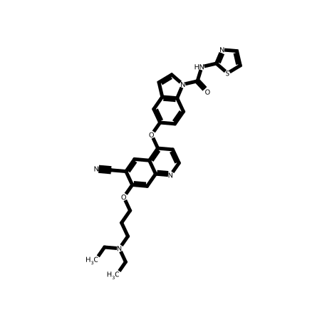 CCN(CC)CCCOc1cc2nccc(Oc3ccc4c(ccn4C(=O)Nc4nccs4)c3)c2cc1C#N